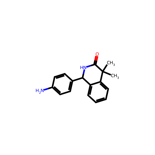 CC1(C)C(=O)NC(c2ccc(N)cc2)c2ccccc21